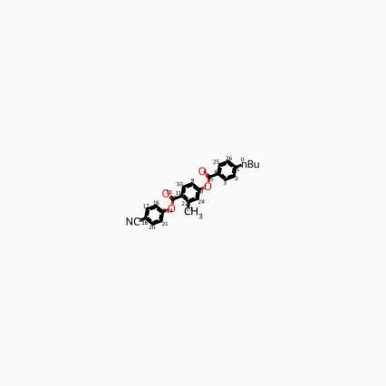 CCCCc1ccc(C(=O)Oc2ccc(C(=O)Oc3ccc(C#N)cc3)c(C)c2)cc1